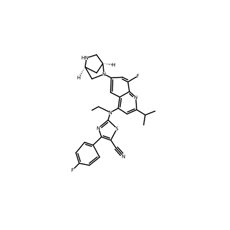 CCN(c1nc(-c2ccc(F)cc2)c(C#N)s1)c1cc(C(C)C)nc2c(F)cc(N3C[C@@H]4C[C@H]3CN4)cc12